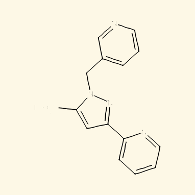 CCOC(=O)c1cc(-c2ccccn2)nn1Cc1cccnc1